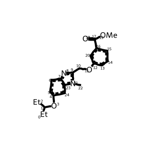 CCC(CC)Oc1ccc2nc(COc3cccc(C(=O)OC)c3)n(C)c2c1